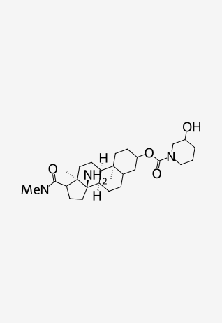 CNC(=O)C1CC[C@@]2(N)[C@@H]3CCC4CC(OC(=O)N5CCCC(O)C5)CC[C@]4(C)[C@@H]3CC[C@]12C